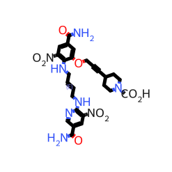 NC(=O)c1cnc(NC/C=C/CNc2c(OCC#CC3CCN(C(=O)O)CC3)cc(C(N)=O)cc2[N+](=O)[O-])c([N+](=O)[O-])c1